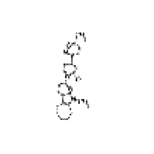 Cc1ccc(-c2ccn(-c3ccc4c5c(n(C)c4n3)CCCCC5)c(=O)c2)nn1